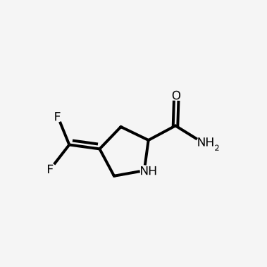 NC(=O)C1CC(=C(F)F)CN1